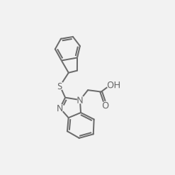 O=C(O)Cn1c(SC2Cc3ccccc32)nc2ccccc21